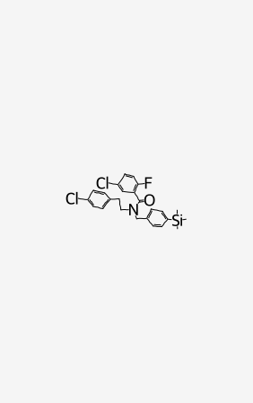 C[Si](C)(C)c1ccc(CN(CCc2ccc(Cl)cc2)C(=O)c2cc(Cl)ccc2F)cc1